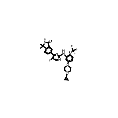 CC1(C)NC(=O)c2cc(-c3nc(Nc4cc(N5CCN(C6CC6)CC5)ccc4OC(F)(F)F)ncc3F)ccc21